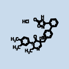 CCCCC1(Cc2ccc(-c3ccccc3-c3noc(=O)[nH]3)cc2)C=NC(C)N(c2ccc(C)c(C)c2)C1=O.Cl